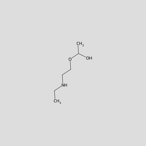 CCNCCOC(C)O